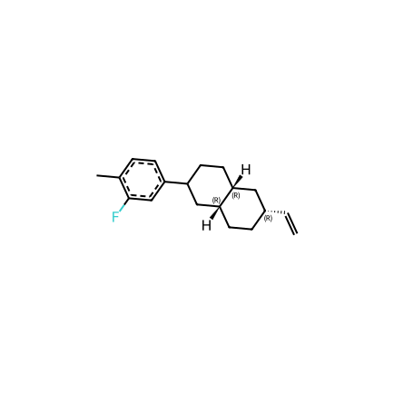 C=C[C@@H]1CC[C@@H]2CC(c3ccc(C)c(F)c3)CC[C@@H]2C1